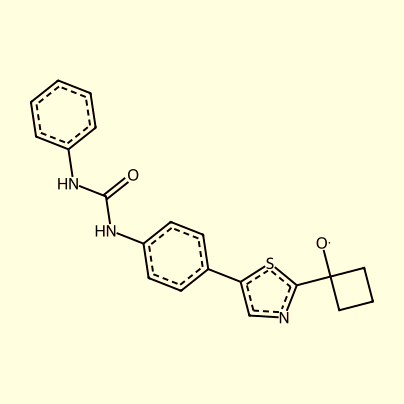 [O]C1(c2ncc(-c3ccc(NC(=O)Nc4ccccc4)cc3)s2)CCC1